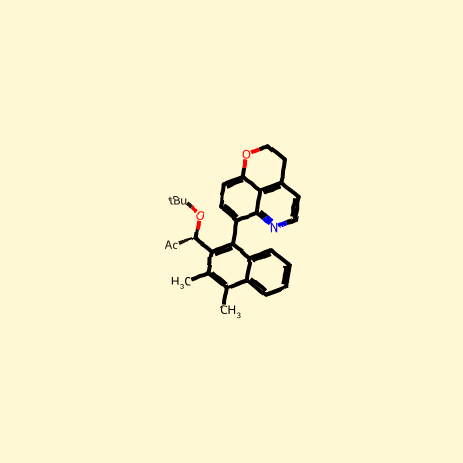 CC(=O)[C@@H](OC(C)(C)C)c1c(C)c(C)c2ccccc2c1-c1ccc2c3c(ccnc13)CCO2